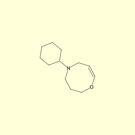 C1=C\OCCCN(C2CCCCC2)C/1